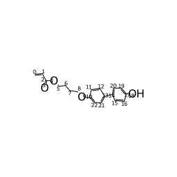 C=CC(=O)OCCCCOc1ccc(-c2ccc(O)cc2)cc1